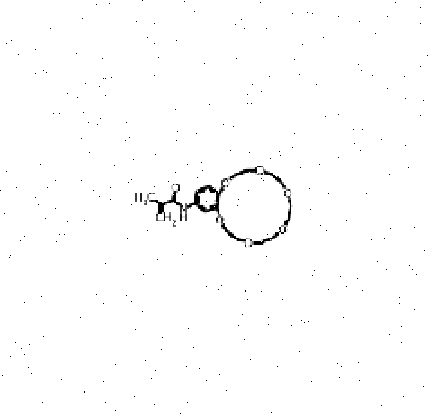 C=C(C)C(=O)Nc1ccc2c(c1)OCCOCCOCCOCCOCCO2